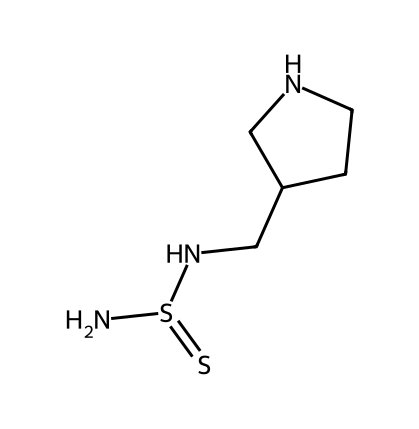 NS(=S)NCC1CCNC1